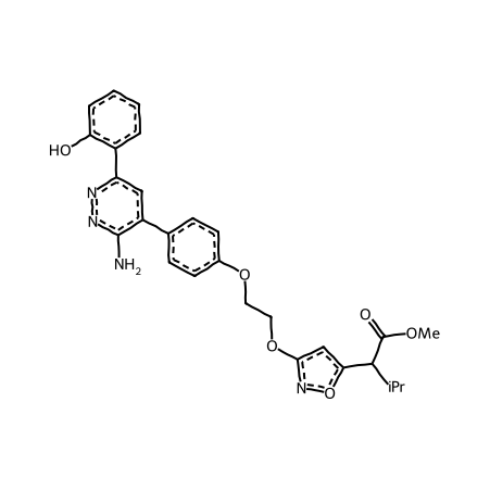 COC(=O)C(c1cc(OCCOc2ccc(-c3cc(-c4ccccc4O)nnc3N)cc2)no1)C(C)C